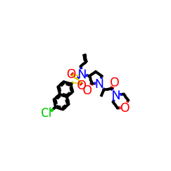 C=CCN(C1CCN(C(C)C(=O)N2CCOCC2)C1=O)S(=O)(=O)c1ccc2cc(Cl)ccc2c1